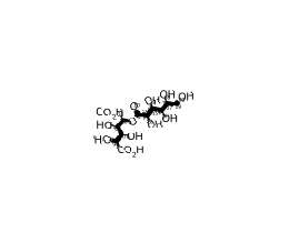 O=C(O)[C@@H](O)[C@@H](O)[C@H](O)[C@@H](OC(=O)[C@H](O)[C@@H](O)[C@H](O)[C@H](O)CO)C(=O)O